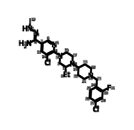 CC[C@H]1CN(c2ncc(/C(N)=N/NI)cc2Cl)CCN1C1CCN(Cc2ccc(Cl)cc2F)CC1